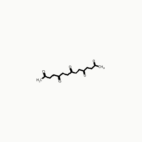 CC(=O)CCC(=O)CCC(=O)CCC(=O)CCC(C)=O